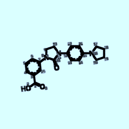 O=C(O)c1cccc(N2CCN(c3ccc(N4CCCC4)cc3)C2=O)c1